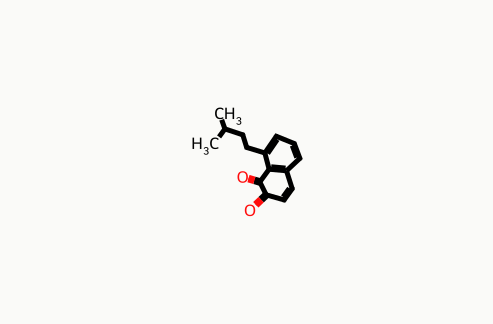 CC(C)CCc1cccc2c1C(=O)C(=O)C=C2